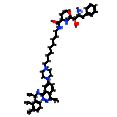 Cc1c([C@@H](C)Nc2nnc(C)c3ccc(N4CCN(CCCCCCCCCNC(=O)C(CC(C)C)NC(=O)[C@@H](O)[C@H](N)Cc5ccccc5)CC4)cc23)cccc1C(F)(F)F